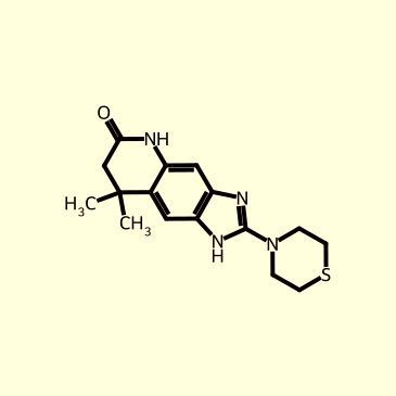 CC1(C)CC(=O)Nc2cc3nc(N4CCSCC4)[nH]c3cc21